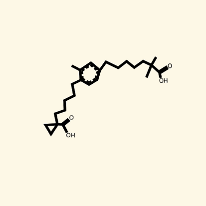 Cc1cc(CCCCCC(C)(C)C(=O)O)ccc1CCCCCC1(C(=O)O)CC1